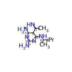 CC(=N)C1C(NC(C)C(C)C)=NC(N)=NC1N